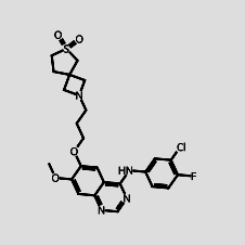 COc1cc2ncnc(Nc3ccc(F)c(Cl)c3)c2cc1OCCCN1CC2(CCS(=O)(=O)C2)C1